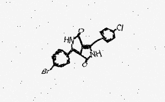 O=C1NC(c2ccc(Br)cc2)=C2C(=O)NC(c3ccc(Cl)cc3)=C12